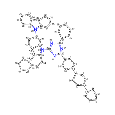 c1ccc(-c2ccc(-c3ccc(-c4nc(-c5ccccc5)nc(-n5c6cc(-n7c8ccccc8c8ccccc87)ccc6c6c7ccccc7ccc65)n4)cc3)cc2)cc1